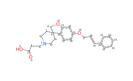 O=C(O)CCN1CCC2(CC1)COc1cc(OC/C=C/c3ccccc3)ccc12